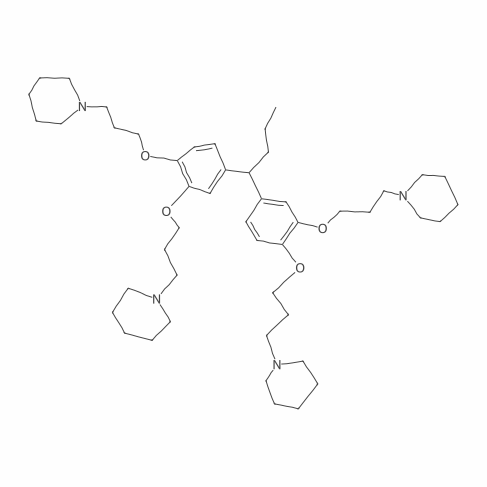 CCCC(c1ccc(OCCCN2CCCCC2)c(OCCCN2CCCCC2)c1)c1ccc(OCCCN2CCCCC2)c(OCCCN2CCCCC2)c1